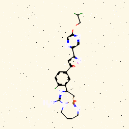 C[C@@]1(c2cc(-c3cc(-c4cnc(OCC(F)F)cn4)no3)ccc2F)CS2(=O)=NCCCCN2C(N)=N1